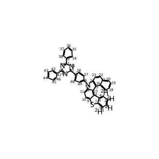 [2H]c1c([2H])c([2H])c2c(sc3ccc4c(c32)c2c3ccccc3ccc2n4-c2ccc(-c3nc(-c4ccccc4)nc(-c4ccccc4)n3)cc2)c1[2H]